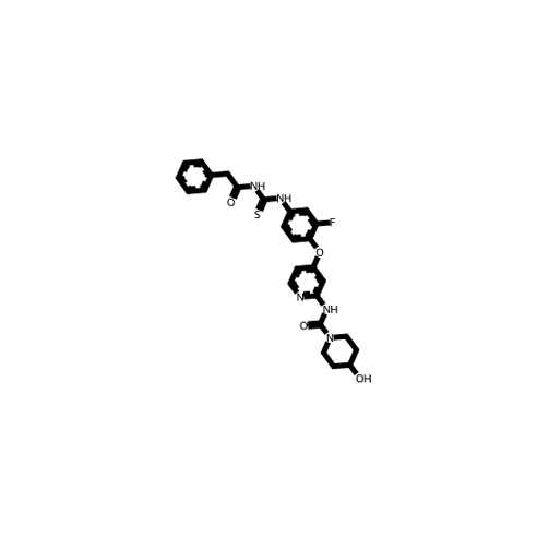 O=C(Cc1ccccc1)NC(=S)Nc1ccc(Oc2ccnc(NC(=O)N3CCC(O)CC3)c2)c(F)c1